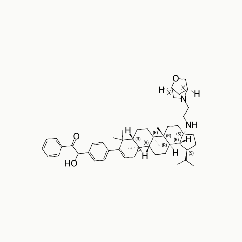 CC(C)[C@@H]1CC[C@]2(NCCN3C[C@@H]4C[C@H]3CO4)CC[C@]3(C)[C@H](CC[C@@H]4[C@@]5(C)CC=C(c6ccc(C(O)C(=O)c7ccccc7)cc6)C(C)(C)[C@@H]5CC[C@]43C)[C@@H]12